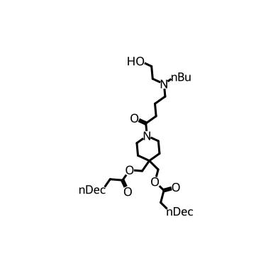 CCCCCCCCCCCC(=O)OCC1(COC(=O)CCCCCCCCCCC)CCN(C(=O)CCCN(CCO)CCCC)CC1